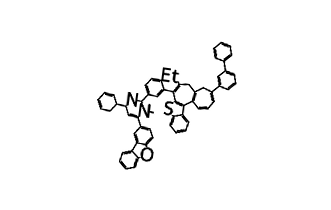 CCC1=C(c2cccc(C3N=C(C4C=CC=CC4)C=C(c4ccc5oc6ccccc6c5c4)N3C)c2)c2sc3ccccc3c2C2=C(CC(c3cccc(-c4ccccc4)c3)=CC=C2)C1